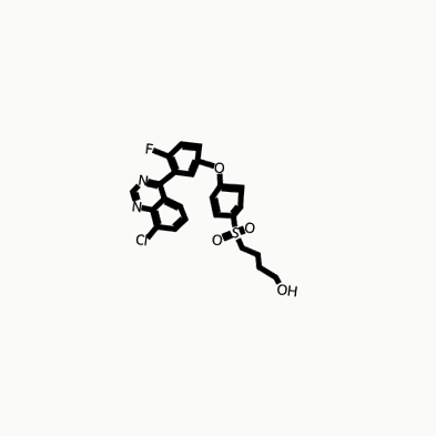 O=S(=O)(CCCCO)c1ccc(Oc2ccc(F)c(-c3ncnc4c(Cl)cccc34)c2)cc1